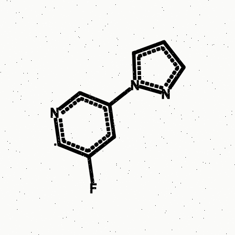 Fc1[c]ncc(-n2cccn2)c1